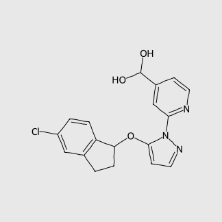 OC(O)c1ccnc(-n2nccc2OC2CCc3cc(Cl)ccc32)c1